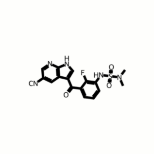 [C-]#[N+]c1cnc2[nH]cc(C(=O)c3cccc(NS(=O)(=O)N(C)C)c3F)c2c1